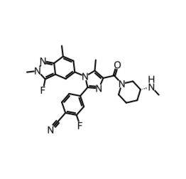 CN[C@@H]1CCCN(C(=O)c2nc(-c3ccc(C#N)c(F)c3)n(-c3cc(C)c4nn(C)c(F)c4c3)c2C)C1